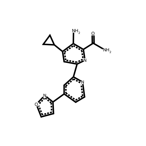 NC(=O)c1nc(-c2cc(-c3ccon3)ccn2)cc(C2CC2)c1N